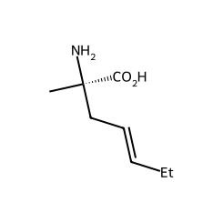 CCC=CC[C@@](C)(N)C(=O)O